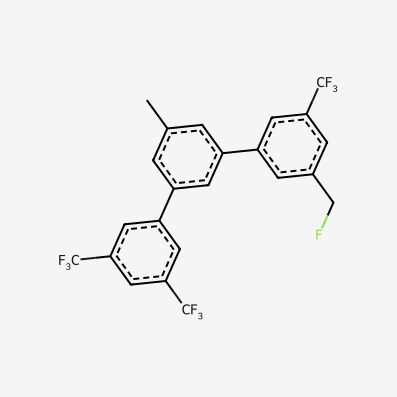 Cc1cc(-c2cc(CF)cc(C(F)(F)F)c2)cc(-c2cc(C(F)(F)F)cc(C(F)(F)F)c2)c1